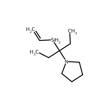 C=C[SiH2]C(CC)(CC)N1CCCC1